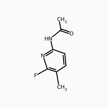 CC(=O)Nc1ccc(C)c(F)n1